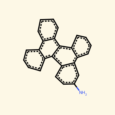 Nc1ccc2c(c1)c1ccccc1c1c3ccccc3c3ccccc3c21